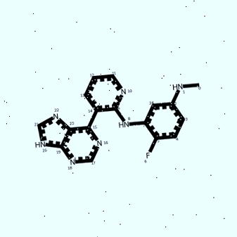 CNc1ccc(F)c(Nc2ncccc2-c2ncnc3[nH]cnc23)c1